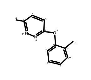 Cc1ccc(Oc2ccccc2C)nn1